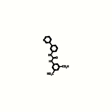 O=C(Nc1cc(C(=O)O)cc(C(=O)O)c1)Nc1cccc(-c2cccnc2)c1